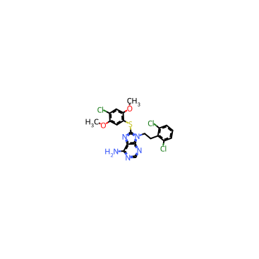 COc1cc(Sc2nc3c(N)ncnc3n2CCc2c(Cl)cccc2Cl)c(OC)cc1Cl